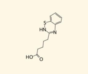 O=C(O)CCCCC1=Nc2ccccc2SN1